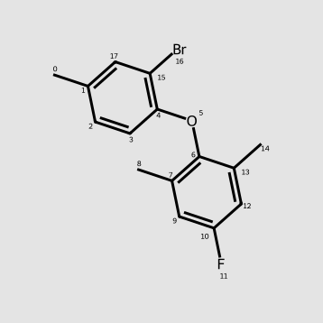 Cc1ccc(Oc2c(C)cc(F)cc2C)c(Br)c1